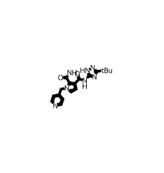 CC(C)(C)c1n[nH]c(NC(=O)c2ccn(Cc3ccncc3)c2C(N)=O)n1